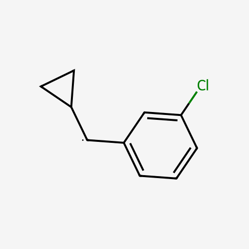 Clc1cccc([CH]C2CC2)c1